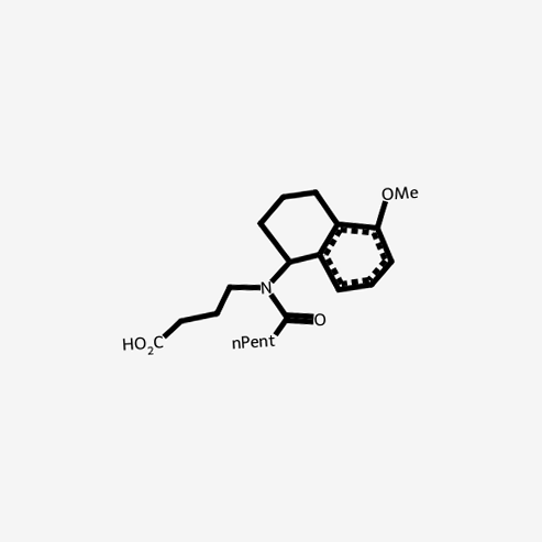 CCCCCC(=O)N(CCCC(=O)O)C1CCCc2c(OC)cccc21